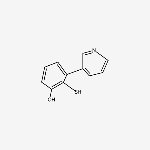 Oc1cccc(-c2cccnc2)c1S